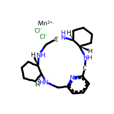 [Cl-].[Cl-].[Mn+2].c1cc2nc(c1)CN[C@H]1CCCC[C@@H]1NCCN[C@H]1CCCC[C@@H]1NC2